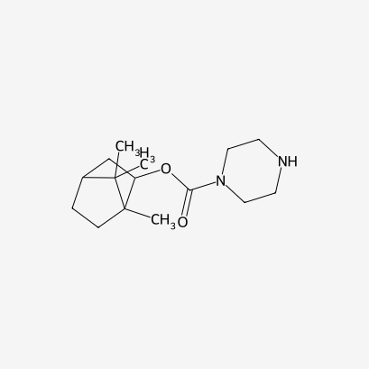 CC1(C)C2CCC1(C)C(OC(=O)N1CCNCC1)C2